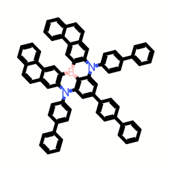 c1ccc(-c2ccc(-c3cc4c5c(c3)N(c3ccc(-c6ccccc6)cc3)c3cc6ccc7ccccc7c6cc3B5c3cc5c(ccc6ccccc65)cc3N4c3ccc(-c4ccccc4)cc3)cc2)cc1